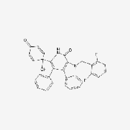 O=C1C=CC(O)(c2[nH]c(=O)c3c(c2-c2ccccc2)c2ccccc2n3Cc2c(F)cccc2F)C=C1